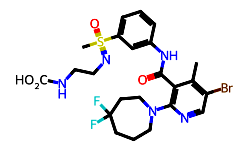 Cc1c(Br)cnc(N2CCCC(F)(F)CC2)c1C(=O)Nc1cccc(S(C)(=O)=NCCNC(=O)O)c1